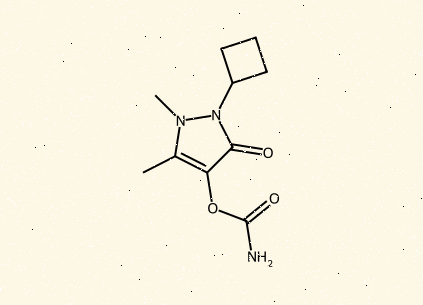 Cc1c(OC(N)=O)c(=O)n(C2CCC2)n1C